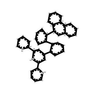 c1ccc(-c2cc(-c3ccccc3-c3ccccc3-c3cc4ccccc4c4ccccc34)cc(-c3ccccn3)n2)nc1